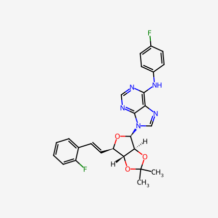 CC1(C)O[C@H]2[C@H](O1)[C@@H](C=Cc1ccccc1F)O[C@H]2n1cnc2c(Nc3ccc(F)cc3)ncnc21